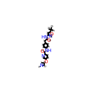 CN1CC(Oc2ccc(C(=O)Nc3ccc(CC(=O)Nc4cc(C(C)(C)C)on4)cc3)nc2)C1